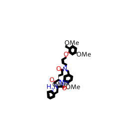 COCc1ccc(OC)cc1OC/C=C\CN(Cc1ccc(OC)cc1)C(=O)CC[C@H](NC(=O)[C@H](N)Cc1ccccc1)C(=O)OC